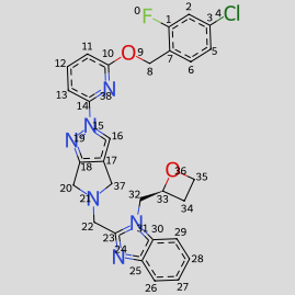 Fc1cc(Cl)ccc1COc1cccc(-n2cc3c(n2)CN(Cc2nc4ccccc4n2C[C@@H]2CCO2)C3)n1